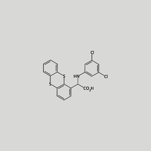 O=C(O)C(Nc1cc(Cl)cc(Cl)c1)c1cccc2c1Sc1ccccc1S2